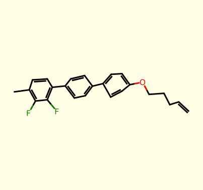 C=CCCCOc1ccc(-c2ccc(-c3ccc(C)c(F)c3F)cc2)cc1